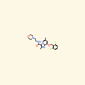 Cc1cc(OCc2c(F)cccc2F)c2nc(C)c(C(=O)NCCN3CCOCC3)n2c1